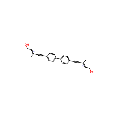 C/C(C#Cc1ccc(-c2ccc(C#C/C(C)=C/CO)cc2)cc1)=C\CO